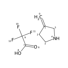 C=C1CCNC1.O=C(O)C(F)(F)F